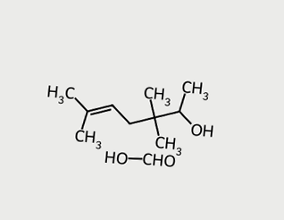 CC(C)=CCC(C)(C)C(C)O.O=CO